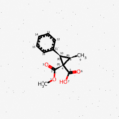 COC(=O)[C@]1(C(=O)O)[C@H](C)[C@@H]1c1ccccc1